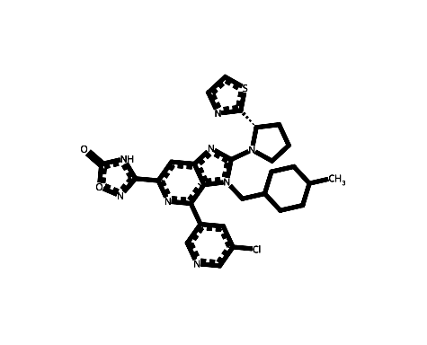 CC1CCC(Cn2c(N3CCC[C@H]3c3nccs3)nc3cc(-c4noc(=O)[nH]4)nc(-c4cncc(Cl)c4)c32)CC1